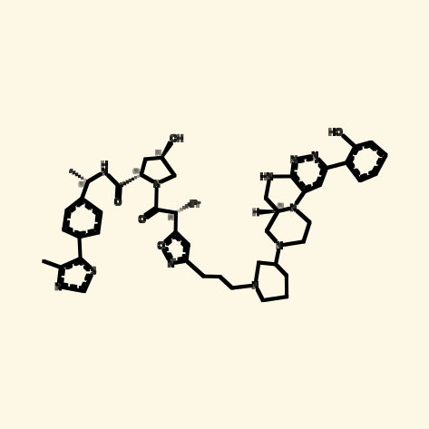 Cc1ncsc1-c1ccc([C@H](C)NC(=O)[C@@H]2C[C@@H](O)CN2C(=O)[C@@H](c2cc(CCCN3CCCC(N4CCN5c6cc(-c7ccccc7O)nnc6NC[C@H]5C4)C3)no2)C(C)C)cc1